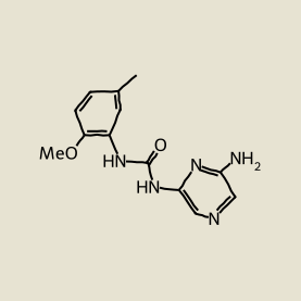 COc1ccc(C)cc1NC(=O)Nc1cncc(N)n1